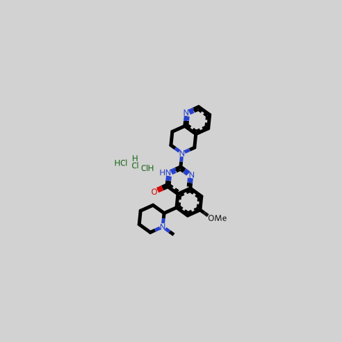 COc1cc(C2CCCCN2C)c2c(=O)[nH]c(N3CCc4ncccc4C3)nc2c1.Cl.Cl.Cl